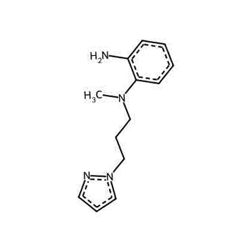 CN(CCCn1cccn1)c1ccccc1N